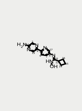 Nc1cnc(-c2ccc(N=C(NO)C3CCC3)cn2)cn1